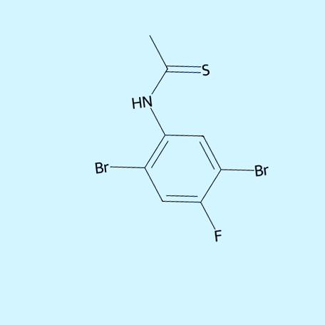 CC(=S)Nc1cc(Br)c(F)cc1Br